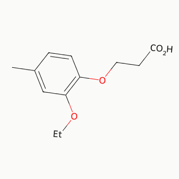 CCOc1cc(C)ccc1OCCC(=O)O